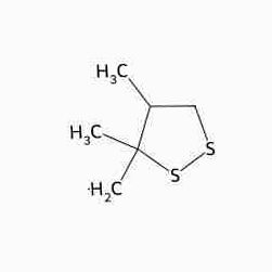 [CH2]C1(C)SSCC1C